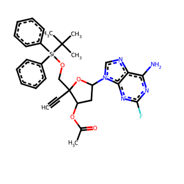 C#CC1(CO[Si](c2ccccc2)(c2ccccc2)C(C)(C)C)OC(n2cnc3c(N)nc(F)nc32)CC1OC(C)=O